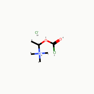 CC(OC(=O)Cl)[N+](C)(C)C.[Cl-]